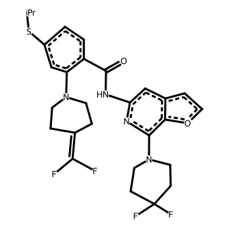 CC(C)Sc1ccc(C(=O)Nc2cc3ccoc3c(N3CCC(F)(F)CC3)n2)c(N2CCC(=C(F)F)CC2)c1